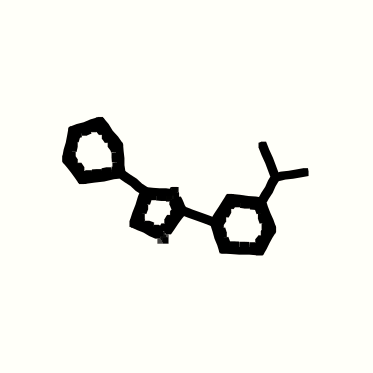 CC(C)c1cccc(-c2ncc(-c3ccccc3)s2)c1